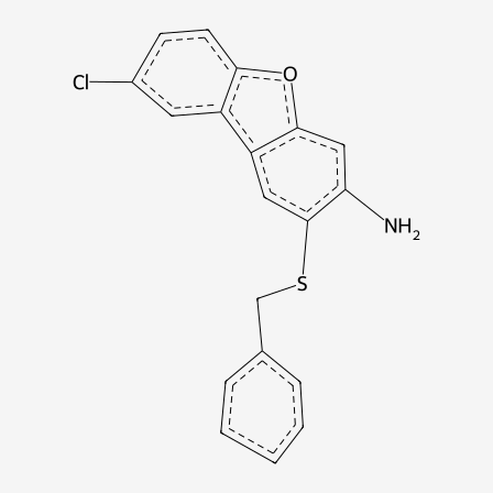 Nc1cc2oc3ccc(Cl)cc3c2cc1SCc1ccccc1